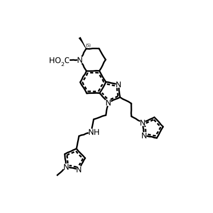 C[C@H]1CCc2c(ccc3c2nc(CCn2cccn2)n3CCNCc2cnn(C)c2)N1C(=O)O